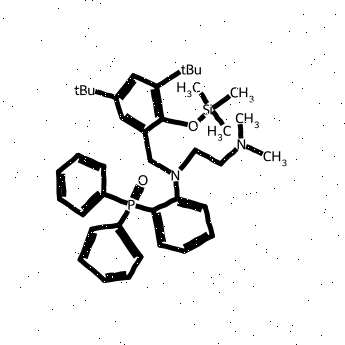 CN(C)CCN(Cc1cc(C(C)(C)C)cc(C(C)(C)C)c1O[Si](C)(C)C)c1ccccc1P(=O)(c1ccccc1)c1ccccc1